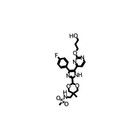 CC1(CNS(C)(=O)=O)COC(c2nc(-c3ccc(F)cc3)c(-c3ccnc(OCCCO)n3)[nH]2)OC1